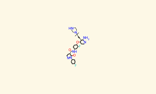 CC(C)(C#Cc1c(Oc2ccc(NC(=O)c3ccnn(-c4ccc(F)cc4)c3=O)cc2F)ccnc1N)N1CCNCC1